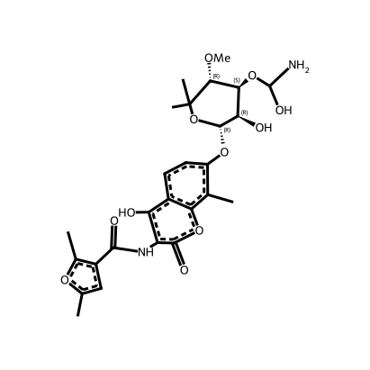 CO[C@@H]1[C@@H](OC(N)O)[C@@H](O)[C@H](Oc2ccc3c(O)c(NC(=O)c4cc(C)oc4C)c(=O)oc3c2C)OC1(C)C